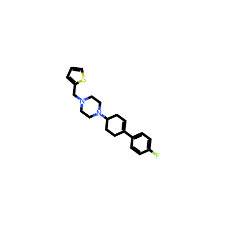 Fc1ccc(C2=CCC(N3CCN(Cc4cccs4)CC3)CC2)cc1